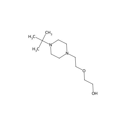 CC(C)(C)N1CCN(CCOCCO)CC1